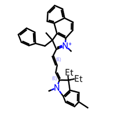 CCC1(CC)/C(=C\C=C\C2=[N+](C)c3ccc4ccccc4c3C2(C)Cc2ccccc2)N(C)c2ccc(C)cc21